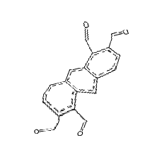 O=Cc1ccc2cc3c(C=O)c(C=O)ccc3cc2c1C=O